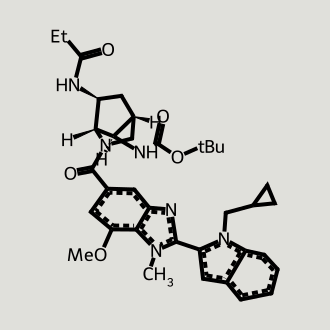 CCC(=O)N[C@H]1C[C@@H]2CN(C(=O)c3cc(OC)c4c(c3)nc(-c3cc5ccccc5n3CC3CC3)n4C)[C@H]1[C@@H]2NC(=O)OC(C)(C)C